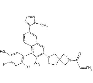 C=CC(=O)N1CC2(CCN(c3nc4cc(-c5ccnn5C)ccc4c(-c4cc(O)c(F)cc4Cl)c3C)C2)C1